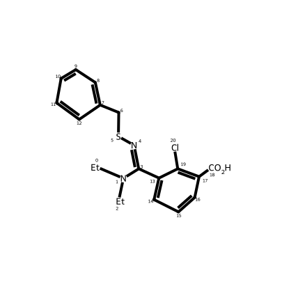 CCN(CC)C(=NSCc1ccccc1)c1cccc(C(=O)O)c1Cl